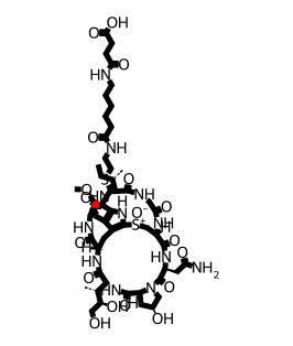 CC[C@H](C)[C@@H]1NC(=O)CNC(=O)[C@@H]2Cc3c([nH]c4c(CSCCNC(=O)CCCCCNC(=O)CCC(=O)O)c(OC)ccc34)[S+]([O-])C[C@H](NC(=O)CNC1=O)C(=O)N[C@@H](CC(N)=O)C(=O)N1C[C@H](O)C[C@H]1C(=O)N[C@@H]([C@@H](C)[C@@H](O)CO)C(=O)N2